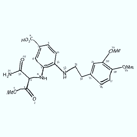 COC(=O)C(Nc1cc(C(=O)O)ccc1NCCc1ccc(OC)c(OC)c1)C(N)=O